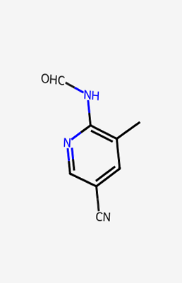 Cc1cc(C#N)cnc1NC=O